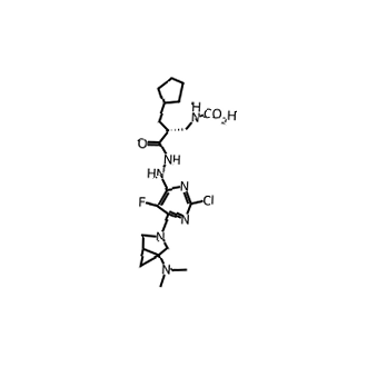 CN(C)C12CC1CN(c1nc(Cl)nc(NNC(=O)[C@@H](CNC(=O)O)CC3CCCC3)c1F)C2